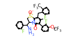 Cc1c(Cc2c(F)cccc2C(F)(F)F)c2n(c(=O)c1-c1cccc(OC(F)(F)F)c1F)C(C(N)c1ccccc1F)C[S+]2[O-]